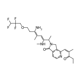 CCC(=O)/C(C)=C\c1nccc2c1CN(C(C)/C(=C/C(C)=C(\N)CCOCC(F)(F)C(F)F)NC)C2=O